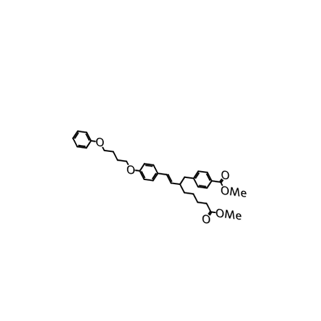 COC(=O)CCCCC(/C=C/c1ccc(OCCCCOc2ccccc2)cc1)Cc1ccc(C(=O)OC)cc1